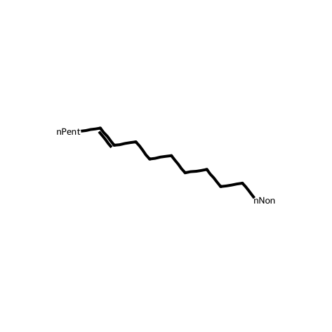 CCCCCC=CCCCCCCCCCCCCCCCC